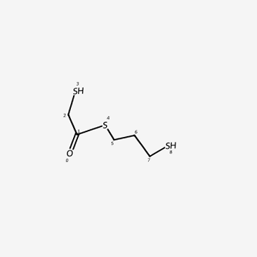 O=C(CS)SCCCS